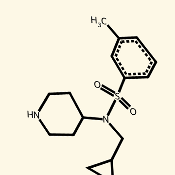 Cc1cccc(S(=O)(=O)N(CC2CC2)C2CCNCC2)c1